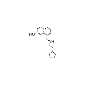 Oc1ccc2cccc(CNCCC3CCCC3)c2c1